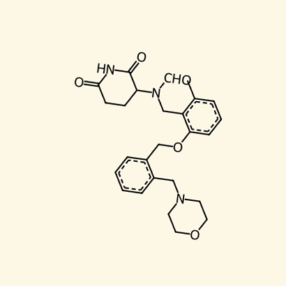 Cc1cccc(OCc2ccccc2CN2CCOCC2)c1CN(C=O)C1CCC(=O)NC1=O